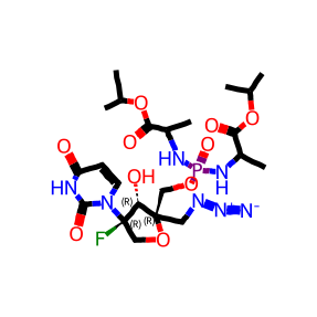 CC(C)OC(=O)C(C)NP(=O)(NC(C)C(=O)OC(C)C)OC[C@@]1(CN=[N+]=[N-])OC[C@](F)(n2ccc(=O)[nH]c2=O)[C@@H]1O